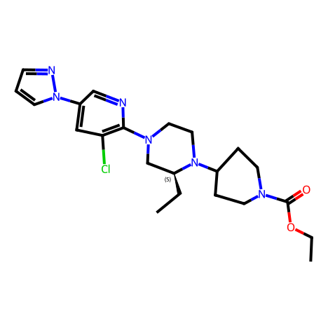 CCOC(=O)N1CCC(N2CCN(c3ncc(-n4cccn4)cc3Cl)C[C@@H]2CC)CC1